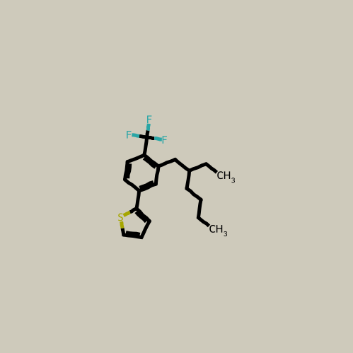 CCCCC(CC)Cc1cc(-c2cccs2)ccc1C(F)(F)F